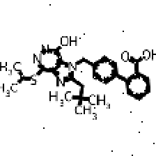 CC(C)Sc1nnc(O)c2c1nc(CC(C)(C)C)n2Cc1ccc(-c2ccccc2C(=O)O)cc1